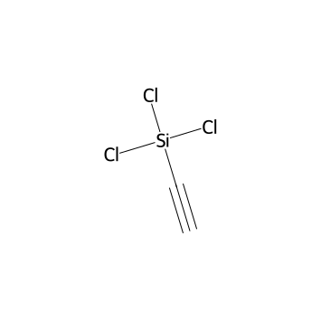 C#C[Si](Cl)(Cl)Cl